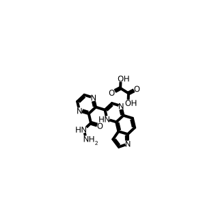 NNC(=O)c1nccnc1-c1cnc2ccc3nccc3c2[nH]1.O=C(O)C(=O)O